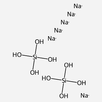 O[Si](O)(O)O.O[Si](O)(O)O.[Na].[Na].[Na].[Na].[Na].[Na]